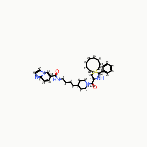 O=C(NCCCCC1CCN(C(=O)C2CS3(CCCCCCCC3)C(c3ccccc3)N2)CC1)c1ccc2nccn2c1